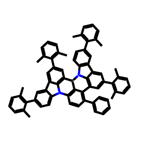 Cc1cccc(C)c1-c1ccc2c(c1)c1cc(-c3c(C)cccc3C)cc3c1n2B1c2c(ccc(-c4ccccc4)c2-3)-n2c3ccc(-c4c(C)cccc4C)cc3c3cc(-c4c(C)cccc4C)cc1c32